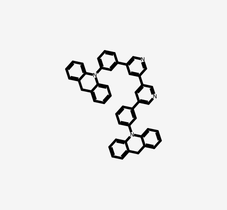 c1cc(-c2cncc(-c3cncc(-c4cccc(N5c6ccccc6Cc6ccccc65)c4)c3)c2)cc(N2c3ccccc3Cc3ccccc32)c1